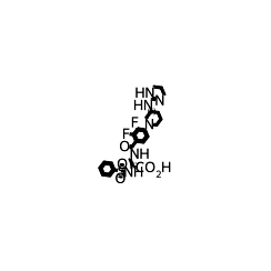 O=C(NC[C@H](NS(=O)(=O)c1ccccc1)C(=O)O)c1ccc(N2CCC[C@H](NC3=NCCCN3)C2)c(F)c1F